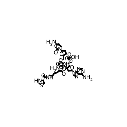 Nc1ccn([C@H]2C[C@H](OP(=O)(O)OC[C@H]3O[C@@H](n4cnc5c(N)ncnc54)C[C@@H]3OC(=O)[C@@H](N)CCCCNC(=O)[C@@H]3CSCN3)[C@@H](COP(=O)(O)O)O2)c(=O)n1